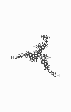 O=S(=O)(O)OCCS(=O)(=O)c1ccc(/N=N/c2c(O)c(/N=N/c3ccc(S(=O)(=O)CCOSOOO)cc3S(=O)(=O)O)c(O)c(/N=N/c3ccc4cc(S(=O)(=O)CCOSOOO)ccc4c3S(=O)(=O)O)c2O)c(S(=O)(=O)O)c1